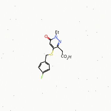 CCn1nc(CC(=O)O)c(SCc2ccc(F)cc2)cc1=O